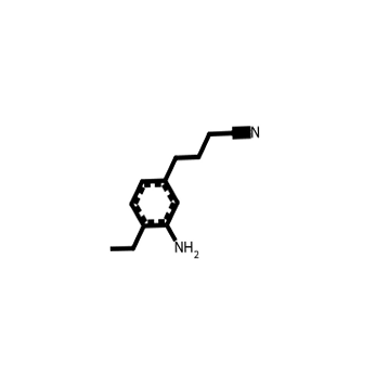 CCc1ccc(CCCC#N)cc1N